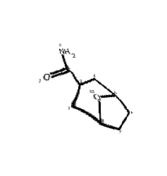 NC(=O)C1CC2CCC(C1)O2